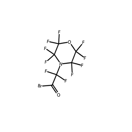 O=C(Br)C(F)(F)N1C(F)(F)C(F)(F)OC(F)(F)C1(F)F